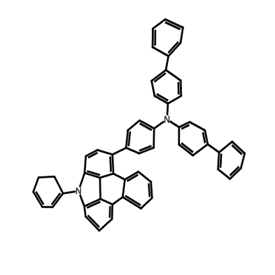 C1=CCCC(n2c3cccc4c5ccccc5c5c(-c6ccc(N(c7ccc(-c8ccccc8)cc7)c7ccc(-c8ccccc8)cc7)cc6)ccc2c5c43)=C1